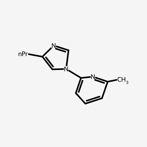 CCCc1cn(-c2cccc(C)n2)cn1